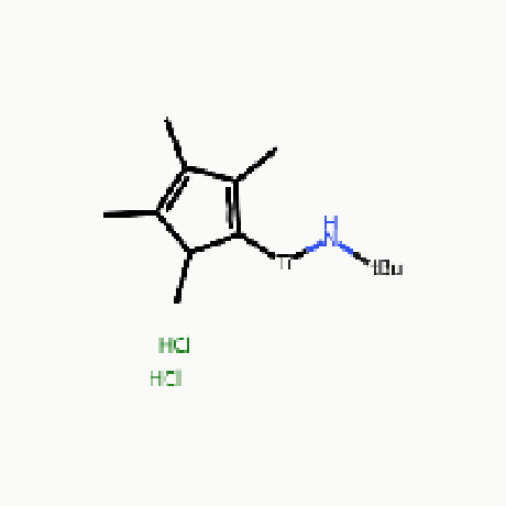 CC1=C(C)C(C)[C]([Ti][NH]C(C)(C)C)=C1C.Cl.Cl